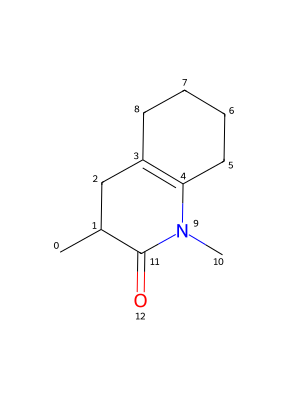 CC1CC2=C(CCCC2)N(C)C1=O